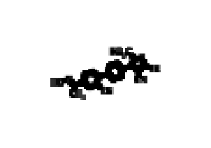 CCc1sc(C(=O)O)c(-c2ccc(-c3ccc(/C(C)=N/O)cc3C#N)cc2)c1C#N